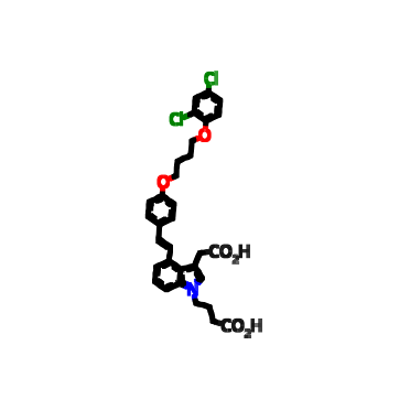 O=C(O)CCCn1cc(CC(=O)O)c2c(C=Cc3ccc(OCCCCOc4ccc(Cl)cc4Cl)cc3)cccc21